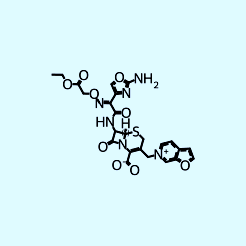 CCOC(=O)CON=C(C(=O)NC1C(=O)N2C(C(=O)[O-])=C(C[n+]3ccc4ccoc4c3)CS[C@@H]12)c1coc(N)n1